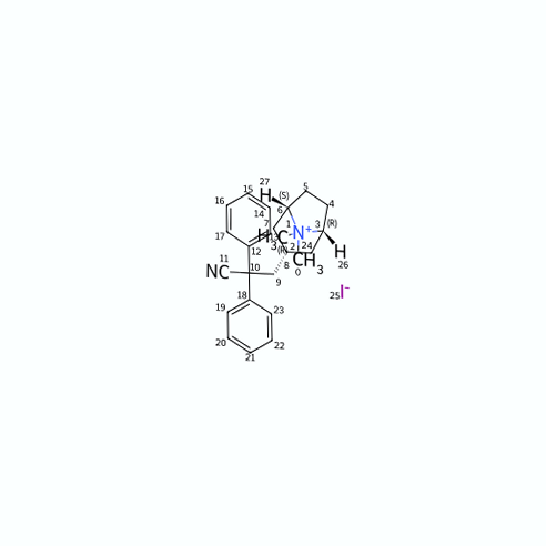 C[N+]1(C)[C@@H]2CC[C@H]1C[C@@H](CC(C#N)(c1ccccc1)c1ccccc1)C2.[I-]